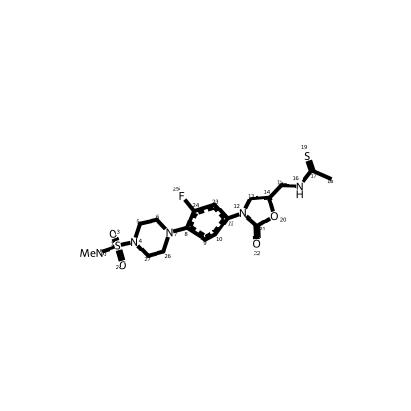 CNS(=O)(=O)N1CCN(c2ccc(N3CC(CNC(C)=S)OC3=O)cc2F)CC1